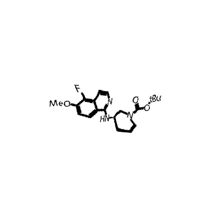 COc1ccc2c(N[C@@H]3CCCN(C(=O)OC(C)(C)C)C3)nccc2c1F